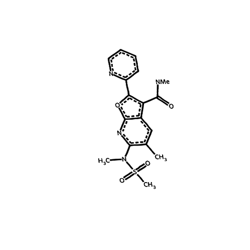 CNC(=O)c1c(-c2ccccn2)oc2nc(N(C)S(C)(=O)=O)c(C)cc12